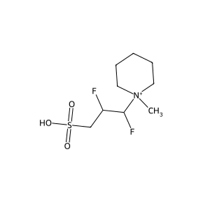 C[N+]1(C(F)C(F)CS(=O)(=O)O)CCCCC1